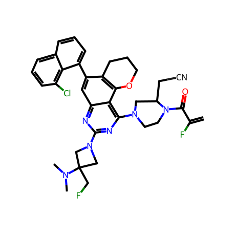 C=C(F)C(=O)N1CCN(c2nc(N3CC(CF)(N(C)C)C3)nc3cc(-c4cccc5cccc(Cl)c45)c4c(c23)OCCC4)CC1CC#N